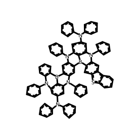 c1ccc(N(c2ccccc2)c2cc3c4c(c2)N(c2ccccc2)c2cc5c(cc2B4c2ccccc2N3c2ccccc2)N(c2ccccc2)c2cc(N(c3ccccc3)c3ccccc3)cc3c2B5c2cc4sc5ccccc5c4cc2N3c2ccccc2)cc1